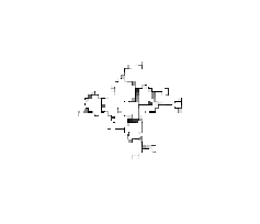 Cc1ccc(OC[C@H](O)CO)c(-c2nc3nc(C(=O)O)nc(NCCC4CC4)c3n2Cc2ccc(Cl)cc2)c1